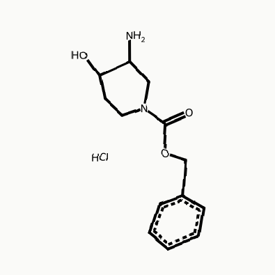 Cl.NC1CN(C(=O)OCc2ccccc2)CCC1O